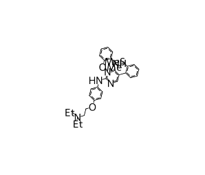 CCN(CC)CCOc1ccc(Nc2ncc(-c3ccccc3SC)c(Nc3ccccc3OC)n2)cc1